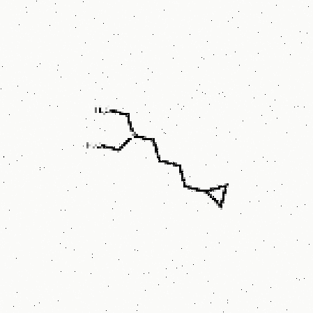 CCN(CC)CCCCC1CC1